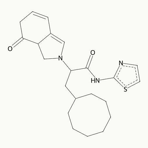 O=C1CC=CC2=CN(C(CC3CCCCCCC3)C(=O)Nc3nccs3)CC12